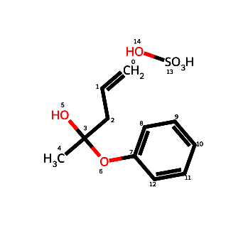 C=CCC(C)(O)Oc1ccccc1.O=S(=O)(O)O